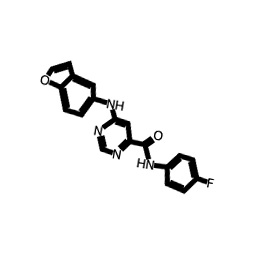 O=C(Nc1ccc(F)cc1)c1cc(Nc2ccc3occc3c2)ncn1